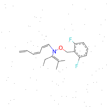 C=C/C=C\C=C/N(OCc1c(F)cccc1F)C(CC)=C(C)C